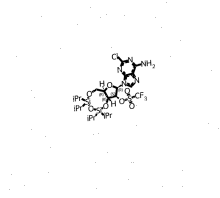 CC(C)[Si]1(C(C)C)OC[C@H]2O[C@@H](n3cnc4c(N)nc(Cl)nc43)[C@@H](OS(=O)(=O)C(F)(F)F)[C@@H]2O[Si](C(C)C)(C(C)C)O1